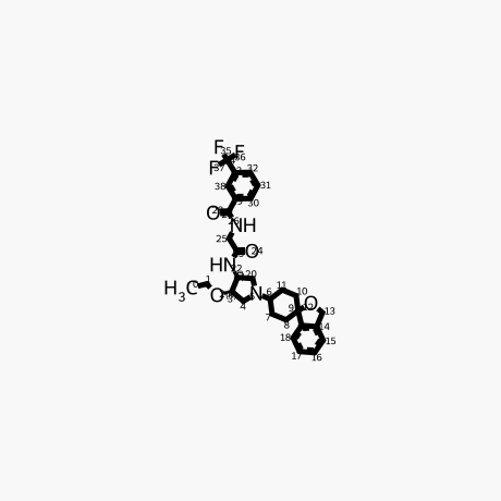 CCO[C@@H]1CN(C2CCC3(CC2)OCc2ccccc23)C[C@@H]1NC(=O)CNC(=O)c1cccc(C(F)(F)F)c1